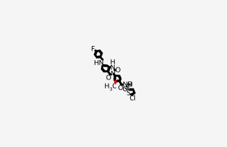 Cc1cc(-n2c(=O)[nH]c3cc(NCc4ccc(F)cc4)ccc3c2=O)ccc1C(=O)NS(=O)(=O)c1ccc(Cl)s1